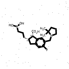 CC1(C)CCCN1Cc1cc2c(cc1F)C[C@H](CCCB(O)O)[C@@H]2C(=O)O